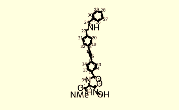 CNC(=O)C(C(=O)NO)N(C)C(=O)c1ccc(C#Cc2ccc(CNCc3ccccc3)cc2)cc1